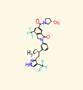 CC(Cc1n[nH]cc1C(F)(F)F)c1cccc(N2Cc3c(cc(C(=O)N4CC[C@H](O)C4)cc3C(F)(F)F)C2=O)c1